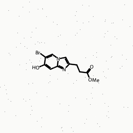 COC(=O)CCc1cn2cc(Br)c(O)cc2n1